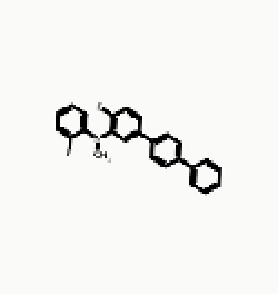 CN(c1ccccc1F)c1cc(-c2ccc(-c3ccccc3)cc2)ccc1F